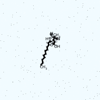 CCCCCCCCCCCCC(=S)/[SH]=[SH](=O)\C(C)(C#N)CCC(=O)O